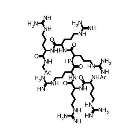 CC(=O)CNC(=O)C(CCCNC(=N)N)NC(=O)C(CCCNC(=N)N)NC(=O)C(CCCNC(=N)N)NC(=O)C(CCCNC(=N)N)NC(=O)C(CCCNC(=N)N)NC(=O)C(CCCNC(=N)N)NC(C)=O